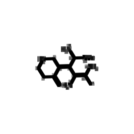 C=C1CCNC/C1=C(/C(N)=C(/C)N)C(N)NC